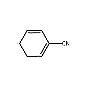 N#CC1=CC[CH]C=C1